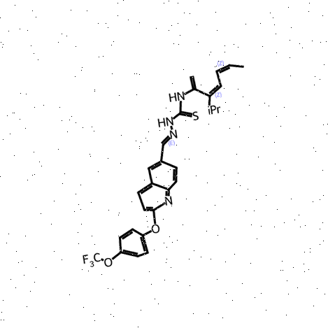 C=C(NC(=S)N/N=C/c1ccc2nc(Oc3ccc(OC(F)(F)F)cc3)ccc2c1)/C(=C\C=C/C)C(C)C